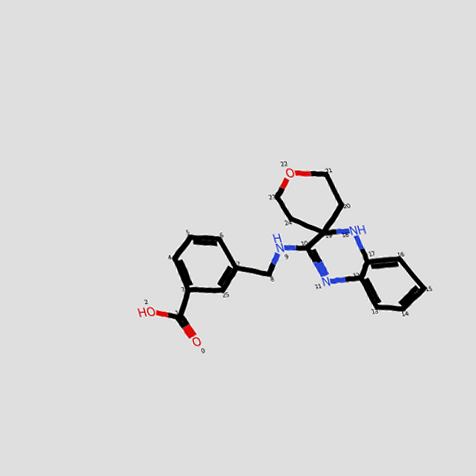 O=C(O)c1cccc(CNC2=Nc3ccccc3NC23CCOCC3)c1